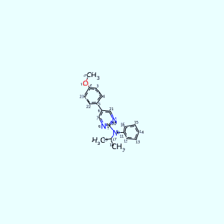 COc1ccc(-c2cnc(N(c3ccccc3)C(C)C)nc2)cc1